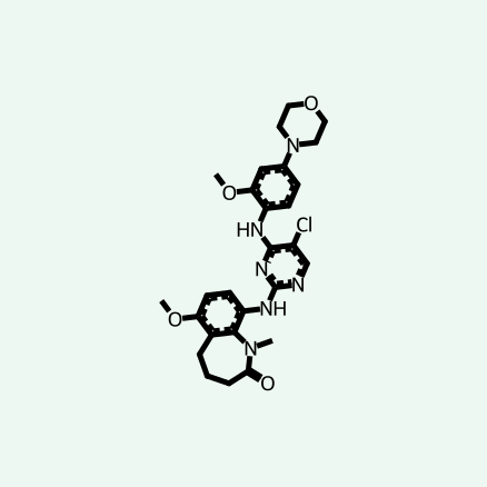 COc1cc(N2CCOCC2)ccc1Nc1nc(Nc2ccc(OC)c3c2N(C)C(=O)CCC3)ncc1Cl